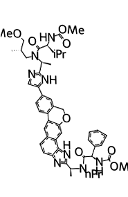 CCCN(C(=O)[C@H](NC(=O)OC)c1ccccc1)[C@@H](C)c1nc2ccc3cc4c(cc3c2[nH]1)OCc1cc(-c2cnc([C@H](C)N(C[C@H](C)COC)C(=O)[C@@H](NC(=O)OC)C(C)C)[nH]2)ccc1-4